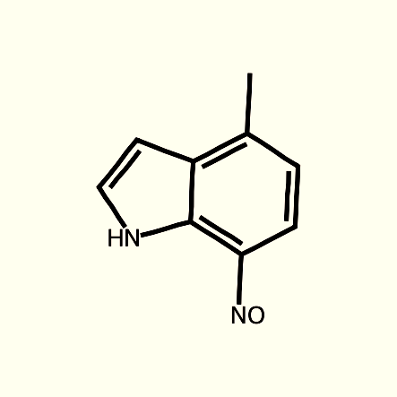 Cc1ccc(N=O)c2[nH]ccc12